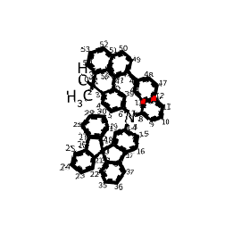 CC1(C)c2ccc(N(c3ccccc3)c3ccc4c(c3)C3(c5ccccc5-c5ccccc53)c3ccccc3-4)cc2-c2c(-c3ccccc3)ccc3cccc1c23